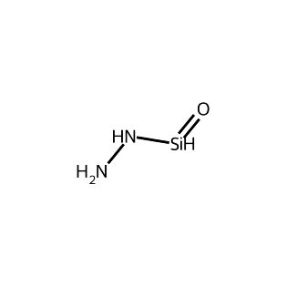 NN[SiH]=O